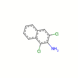 Nc1c(Cl)cc2ccccc2c1Cl